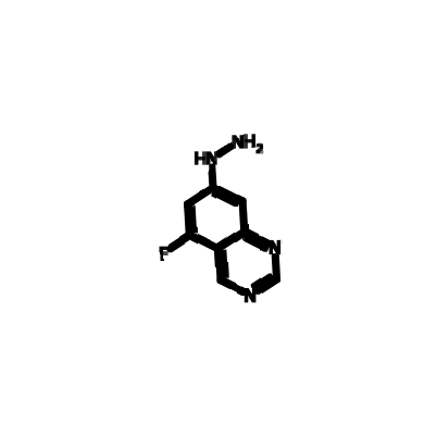 NNc1cc(F)c2cncnc2c1